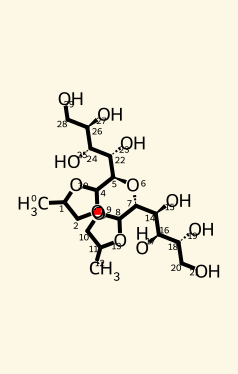 CC1COC([C@H](O[C@@H](C2OCC(C)O2)[C@@H](O)[C@H](O)[C@H](O)CO)[C@@H](O)[C@H](O)[C@H](O)CO)O1